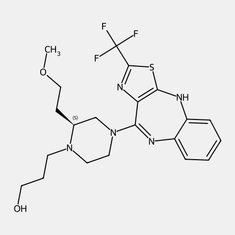 COCC[C@H]1CN(C2=Nc3ccccc3Nc3sc(C(F)(F)F)nc32)CCN1CCCO